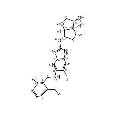 CCc1cccc(F)c1CNc1nc2nc(O[C@H]3CO[C@@H]4[C@H](O)CO[C@]34I)[nH]c2cc1Cl